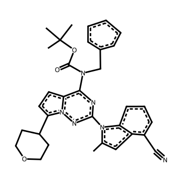 Cc1cc2c(C#N)cccc2n1-c1nc(N(Cc2ccccc2)C(=O)OC(C)(C)C)c2ccc(C3CCOCC3)n2n1